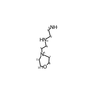 [NH]CCNCCN1CCOCC1